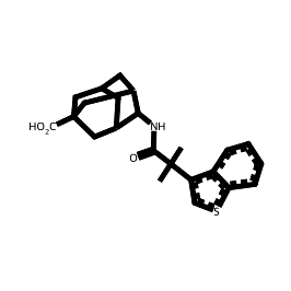 CC(C)(C(=O)NC1C2CC3CC1CC(C(=O)O)(C3)C2)c1csc2ccccc12